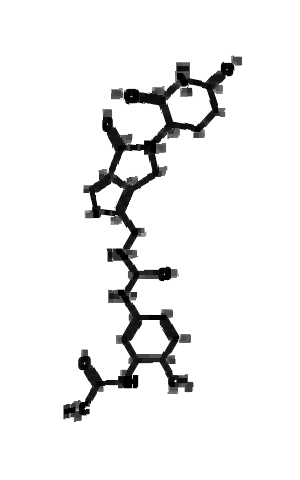 CC(=O)Nc1cc(NC(=O)NCc2scc3c2CN(C2CCC(=O)NC2=O)C3=O)ccc1C